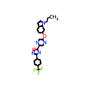 CCCn1[c]cc2ccc(Oc3cnc(-c4nc(-c5ccc(C(F)(F)F)cc5)no4)cn3)cc21